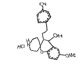 COc1ccc2c(c1)C(O)C(CCc1ccc(C#N)cc1)C1(CCNCC1)O2.Cl